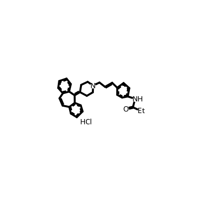 CCC(=O)Nc1ccc(C=CCN2CCC(=C3c4ccccc4C=Cc4ccccc43)CC2)cc1.Cl